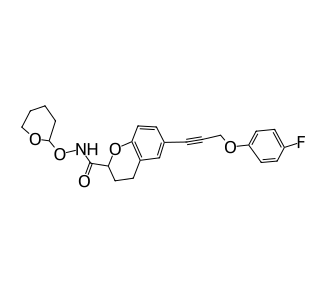 O=C(NOC1CCCCO1)C1CCc2cc(C#CCOc3ccc(F)cc3)ccc2O1